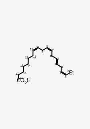 CC/C=C\C/C=C/C/C=C\C/C=C\CCCCCCC(=O)O